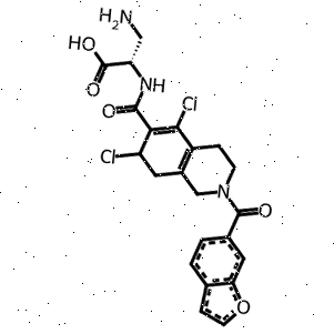 NC[C@H](NC(=O)C1=C(Cl)C2=C(CC1Cl)CN(C(=O)c1ccc3ccoc3c1)CC2)C(=O)O